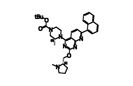 C[C@@H]1CN(C(=O)OC(C)(C)C)CCN1c1nc(OC[C@@H]2CCCN2C)nc2nc(-c3cccc4ccccc34)ccc12